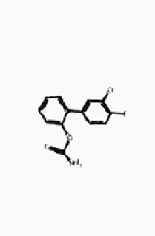 NC(=O)Oc1ccccc1-c1ccc(F)c(Cl)c1